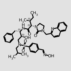 CC[C@H](C)[C@@H](C(=O)N[C@@H](Cc1ccccc1)[C@@H](O)CN(CC(C)C)S(=O)(=O)c1ccc(C=NO)cc1)N1CCN(Cc2ccc3ccccc3n2)C1=O